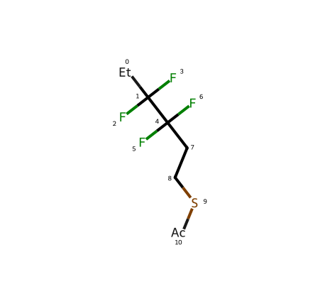 CCC(F)(F)C(F)(F)CCSC(C)=O